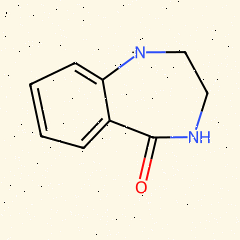 O=C1NCC[N]c2ccccc21